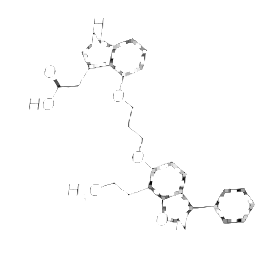 CCCc1c(OCCCOc2cccc3[nH]cc(CC(=O)O)c23)ccc2c(-c3ccccc3)noc12